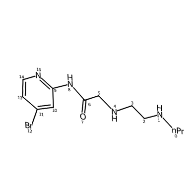 CCCNCCNCC(=O)Nc1cc(Br)ccn1